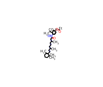 CCC(=O)Oc1ccc(NC(=O)/C=C(C)/C=C/C=C(C)/C=C/C2=C(C)CCCC2(C)C)c(C(C)C(=O)O)c1